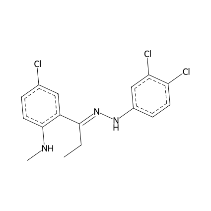 CC/C(=N\Nc1ccc(Cl)c(Cl)c1)c1cc(Cl)ccc1NC